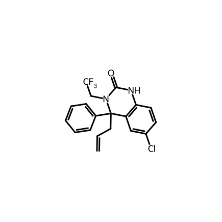 C=CCC1(c2ccccc2)c2cc(Cl)ccc2NC(=O)N1CC(F)(F)F